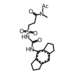 CC(=O)N(C)C(=O)CCS(=O)(=O)NC(=O)Nc1c2c(cc3c1CCC3)CCC2